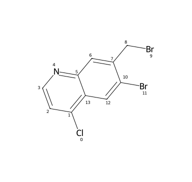 Clc1ccnc2cc(CBr)c(Br)cc12